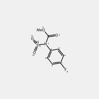 COC(=O)N(c1ccc(F)cc1)[SH](=O)=O